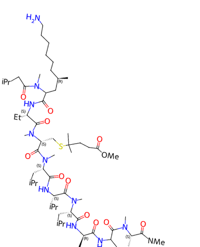 CC[C@H](NC(=O)C(C[C@H](C)CCCCCCN)N(C)C(=O)CC(C)C)C(=O)N(C)[C@H](CSC(C)(C)CCC(=O)OC)C(=O)N(C)[C@@H](CC(C)C)C(=O)N[C@H](C(=O)N(C)[C@@H](CC(C)C)C(=O)N[C@H](C)C(=O)NC(C)C(=O)N(C)[C@@H](CC(C)C)C(=O)NC)C(C)C